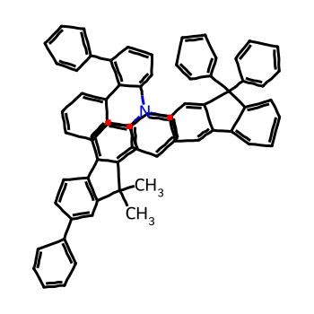 CC1(C)c2cc(-c3ccccc3)ccc2-c2ccc(N(c3ccc4c(c3)C(c3ccccc3)(c3ccccc3)c3ccccc3-4)c3cccc(-c4ccccc4)c3-c3ccccc3-c3ccccc3)cc21